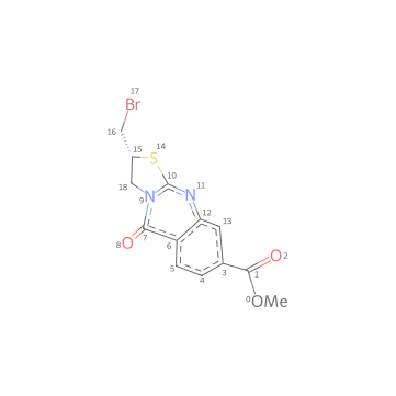 COC(=O)c1ccc2c(=O)n3c(nc2c1)S[C@@H](CBr)C3